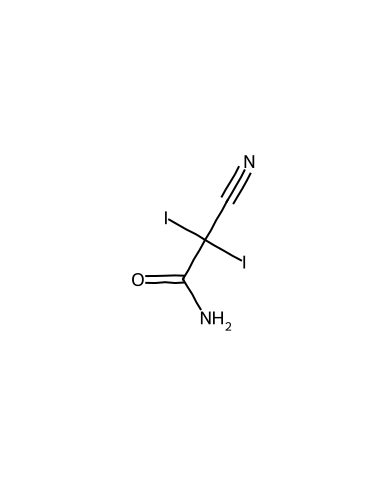 N#CC(I)(I)C(N)=O